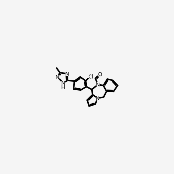 Cc1n[nH]c(-c2ccc(C3c4cccn4Cc4ccccc4N3C=O)c(Cl)c2)n1